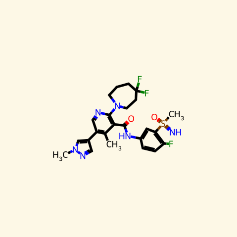 Cc1c(-c2cnn(C)c2)cnc(N2CCCC(F)(F)CC2)c1C(=O)Nc1ccc(F)c(S(C)(=N)=O)c1